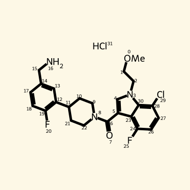 COCCn1cc(C(=O)N2CCC(c3cc(CN)ccc3F)CC2)c2c(F)ccc(Cl)c21.Cl